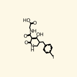 O=C(O)CNC(=O)C1=C(O)C(Cc2ccc(I)cc2)CNC1=O